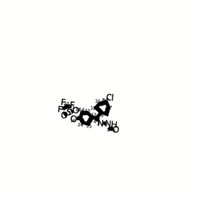 O=CN/N=C(\c1ccc(Cl)cc1)c1ccc(OS(=O)(=O)C(F)(F)F)cc1